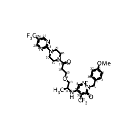 COc1ccc(Cn2ncc(NC(C)COCCC(=O)N3CCN(c4ncc(C(F)(F)F)cn4)CC3)c(C(F)(F)F)c2=O)cc1